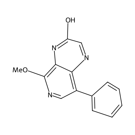 COc1ncc(-c2ccccc2)c2ncc(O)nc12